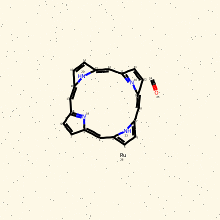 C1=Cc2cc3ccc(cc4nc(cc5ccc(cc1n2)[nH]5)C=C4)[nH]3.[C]=O.[Ru]